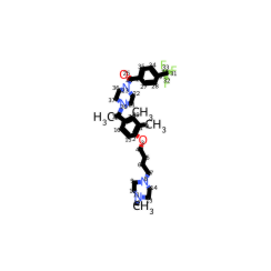 Cc1c(OCCCCN2CCN(C)CC2)ccc(C(C)N2CCN(C(=O)c3ccc(C(F)(F)F)cc3)CC2)c1C